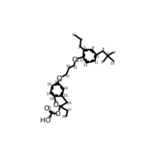 CCCc1cc(CC(C)(C)C)ccc1OCCCOc1ccc2c(c1)CC(CC)(OC(=O)O)O2